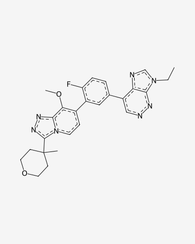 CCn1cnc2c(-c3ccc(F)c(-c4ccn5c(C6(C)CCOCC6)nnc5c4OC)c3)cnnc21